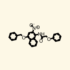 O=C(COc1ccccc1)Nc1c([N+](=O)[O-])cc(OCc2ccccc2)c2ccccc12